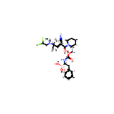 CN(CC(F)F)C(C)(C)C=C(C#N)C(=O)N1CCCC[C@@H]1COC(=O)NC(Cc1ccccc1)B(O)O